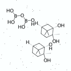 CC1(C)[C@H]2CC[C@](C)(O)[C@]1(O)C2.CC1(C)[C@H]2CC[C@](C)(O)[C@]1(O)C2.OB(O)OB(O)O